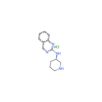 Cl.c1ccc2nc(N[C@@H]3CCCNC3)ncc2c1